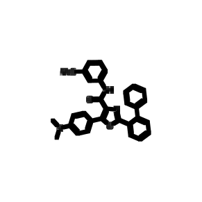 CSc1cccc(NC(=O)c2nc(-c3ccccc3-c3ccccc3)oc2-c2ccc(N(C)C)cc2)c1